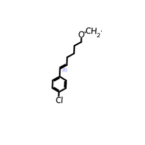 [CH2]OCCCC/C=C/c1ccc(Cl)cc1